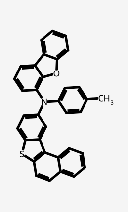 Cc1ccc(N(c2ccc3sc4ccc5ccccc5c4c3c2)c2cccc3c2oc2ccccc23)cc1